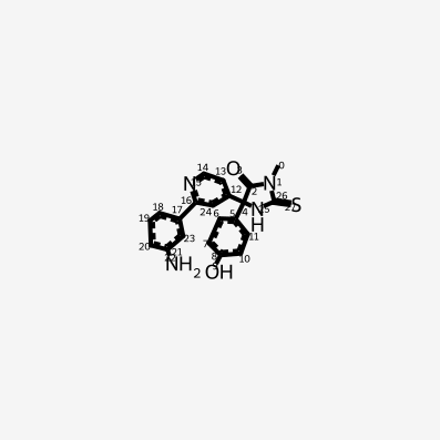 CN1C(=O)C(c2ccc(O)cc2)(c2ccnc(-c3cccc(N)c3)c2)NC1=S